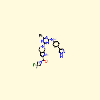 CCc1nc(Nc2ccc(-c3cn[nH]c3)cc2)nc(N2CCc3cc(C(=O)N4CC(C)(F)C4)n(C)c3C2)n1